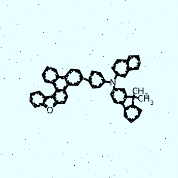 CC1(C)c2ccccc2-c2ccc(N(c3ccc(-c4ccc5c6ccccc6c6c(ccc7oc8ccccc8c76)c5c4)cc3)c3ccc4ccccc4c3)cc21